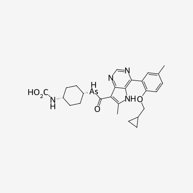 Cc1ccc(OCC2CC2)c(-c2ncnc3c(C(=O)[AsH][C@H]4CC[C@@H](NC(=O)O)CC4)c(C)[nH]c23)c1